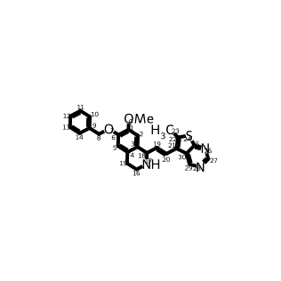 COc1cc2c(cc1OCc1ccccc1)CCNC2/C=C/c1c(C)sc2ncncc12